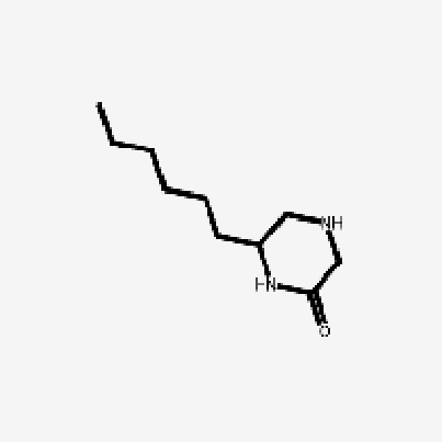 CCCCCCC1CNCC(=O)N1